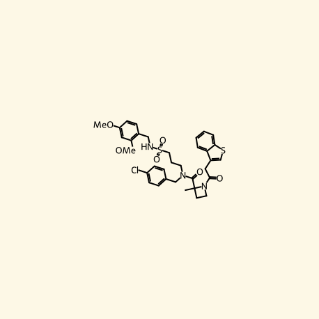 COc1ccc(CNS(=O)(=O)CCCN(Cc2ccc(Cl)cc2)C(=O)C2(C)CCN2C(=O)Cc2csc3ccccc23)c(OC)c1